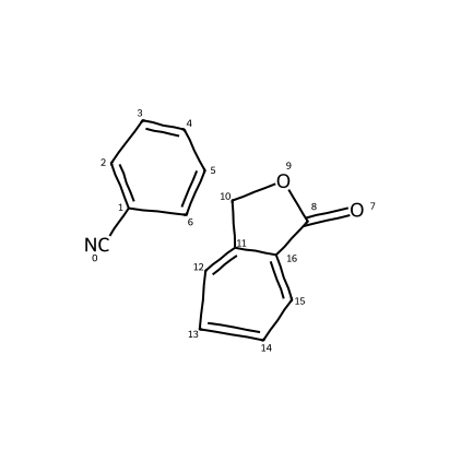 N#Cc1ccccc1.O=C1OCc2ccccc21